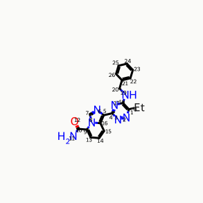 CCc1nnc(-c2ncn3c(C(N)=O)cccc23)nc1NCc1ccccc1